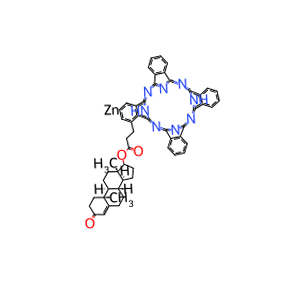 C[C@]12CC[C@H]3[C@@H](CCC4=CC(=O)CC[C@@]43C)[C@@H]1CC[C@@H]2OC(=O)CCc1cccc2c3nc4nc(nc5[nH]c(nc6nc(nc([nH]3)c12)-c1ccccc1-6)c1ccccc51)-c1ccccc1-4.[Zn]